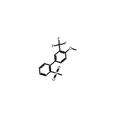 COc1ccc(-c2[c]cccc2S(C)(=O)=O)cc1C(F)(F)F